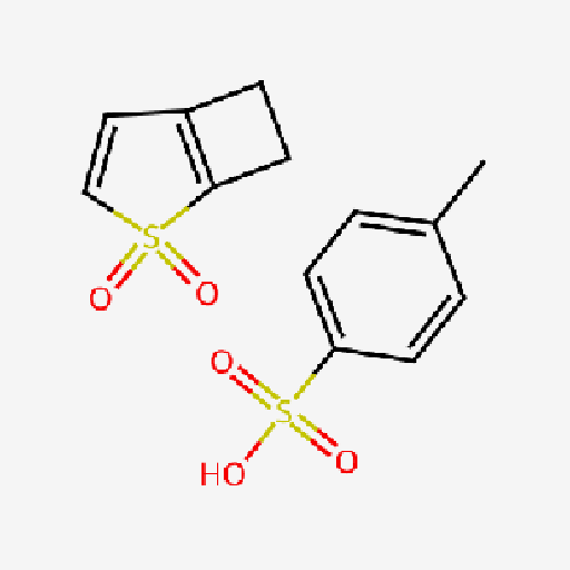 Cc1ccc(S(=O)(=O)O)cc1.O=S1(=O)C=CC2=C1CC2